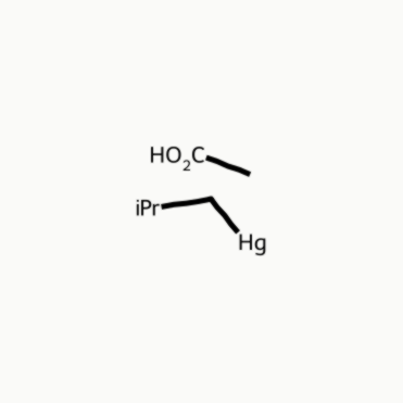 CC(=O)O.CC(C)[CH2][Hg]